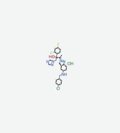 C[C@@H](n1cc2cc(NCc3ccc(Cl)cc3)ccc2n1)[C@](O)(Cn1cncn1)c1ccc(F)cc1F.Cl